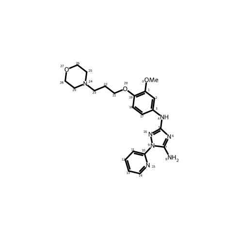 COc1cc(Nc2nc(N)n(-c3ccccn3)n2)ccc1OCCCN1CCOCC1